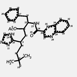 CC(=O)OC(CC(CCC(C)(C)F)c1nnc[nH]1)C(Cc1ccccc1)NC(=O)c1cnc2ccccc2n1